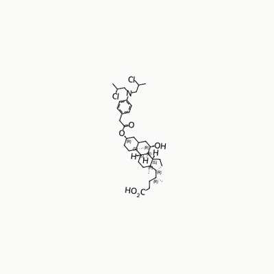 CC(Cl)CN(CC(C)Cl)c1ccc(CC(=O)O[C@@H]2CC[C@@]3(C)C(C2)C[C@@H](O)[C@H]2[C@@H]4CC[C@H]([C@H](C)CCC(=O)O)[C@@]4(C)CC[C@@H]23)cc1